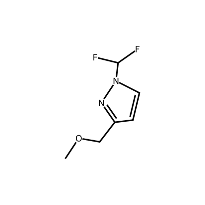 COCc1ccn(C(F)F)n1